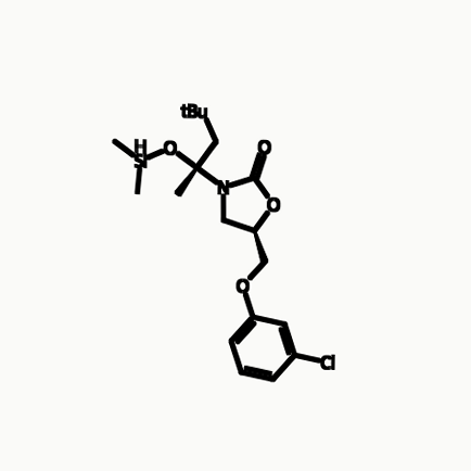 C[SiH](C)O[C@](C)(CC(C)(C)C)N1C[C@H](COc2cccc(Cl)c2)OC1=O